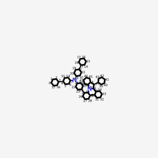 c1ccc(-c2ccc(N(c3ccc(-c4ccccc4)cc3)c3ccc(-c4cccc5c6ccccc6c6c(-c7ccccc7)c7ccccc7n6c45)cc3)cc2)cc1